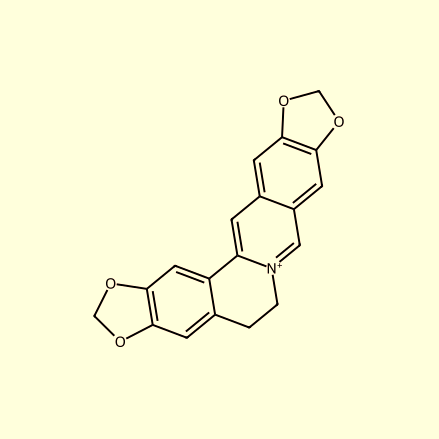 c1c2c(cc3c1OCO3)-c1cc3cc4c(cc3c[n+]1CC2)OCO4